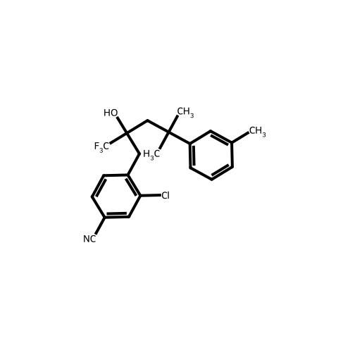 Cc1cccc(C(C)(C)CC(O)(Cc2ccc(C#N)cc2Cl)C(F)(F)F)c1